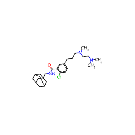 CN(C)CCN(C)CCCc1ccc(Cl)c(C(=O)NCC23CC4CC(CC(C4)C2)C3)c1